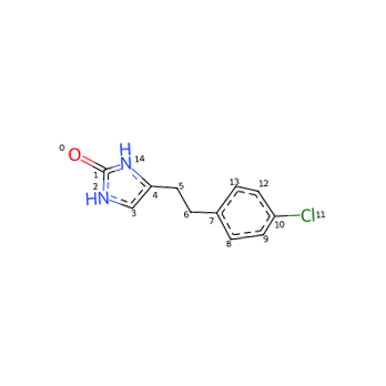 O=c1[nH]cc(CCc2ccc(Cl)cc2)[nH]1